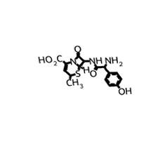 CC1C=C(C(=O)O)N2C(=O)C(NC(=O)C(N)c3ccc(O)cc3)[C@@H]2S1